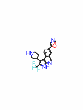 FC(F)(F)c1[nH]c2ncc3cc(-c4cnco4)ccc3c2c1C1CCNCC1